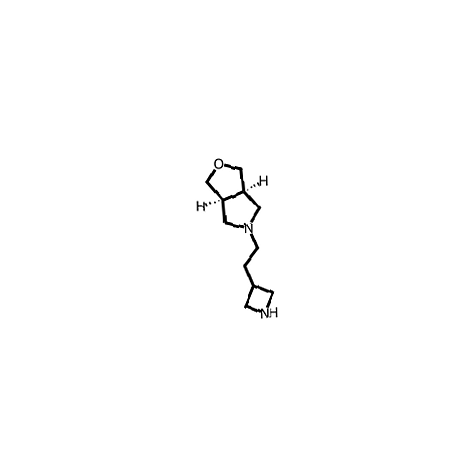 C(CN1C[C@H]2COC[C@H]2C1)C1CNC1